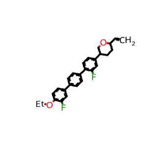 C=CC1CCC(c2ccc(-c3ccc(-c4ccc(OCC)c(F)c4)cc3)c(F)c2)CO1